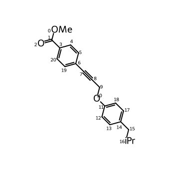 COC(=O)c1ccc(C#CCOc2ccc(CC(C)C)cc2)cc1